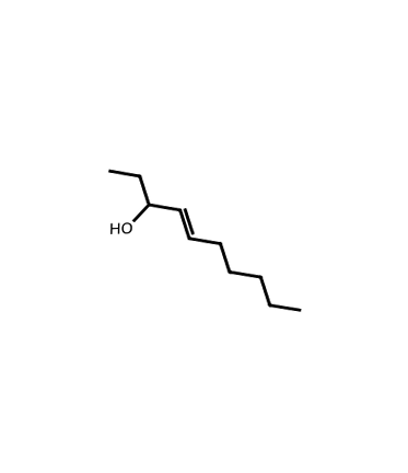 CCCCCC=CC(O)CC